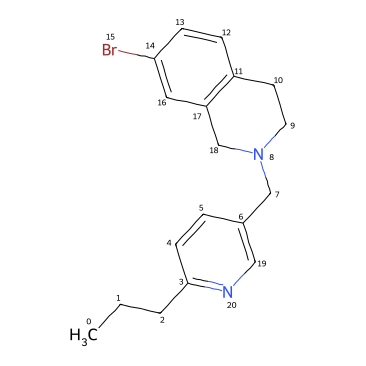 CCCc1ccc(CN2CCc3ccc(Br)cc3C2)cn1